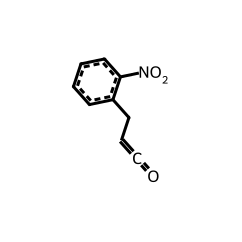 O=C=CCc1ccccc1[N+](=O)[O-]